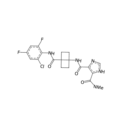 CNC(=O)c1[nH]cnc1C(=O)NC12CCC1(C(=O)Nc1c(F)cc(F)cc1Cl)CC2